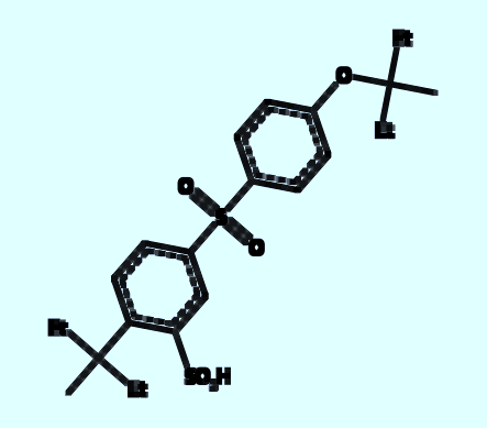 CCC(C)(CC)Oc1ccc(S(=O)(=O)c2ccc(C(C)(CC)CC)c(S(=O)(=O)O)c2)cc1